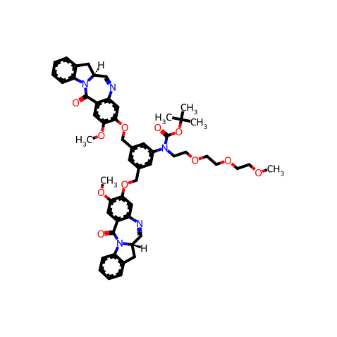 COCCOCCOCCN(C(=O)OC(C)(C)C)c1cc(COc2cc3c(cc2OC)C(=O)N2c4ccccc4C[C@H]2C=N3)cc(COc2cc3c(cc2OC)C(=O)N2c4ccccc4C[C@H]2C=N3)c1